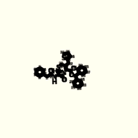 O=C(Cc1ccccc1)N[C@@H]1C(=O)N2C(C(=O)OC(c3ccccc3)c3ccccc3)=C(Cc3cccs3)CS[C@H]12